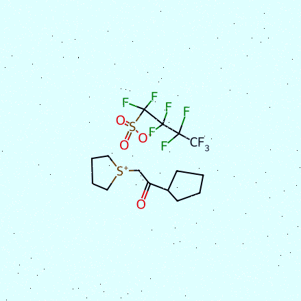 O=C(C[S+]1CCCC1)C1CCCC1.O=S(=O)([O-])C(F)(F)C(F)(F)C(F)(F)C(F)(F)F